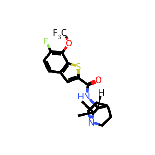 CC1(C)[C@H](NC(=O)c2cc3ccc(F)c(OC(F)(F)F)c3s2)C2CCN1CC2